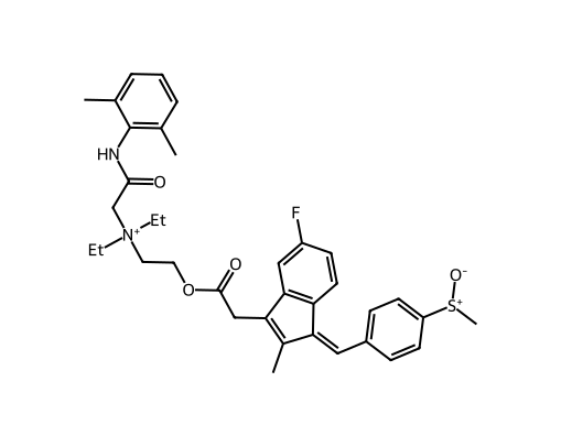 CC[N+](CC)(CCOC(=O)CC1=C(C)/C(=C/c2ccc([S+](C)[O-])cc2)c2ccc(F)cc21)CC(=O)Nc1c(C)cccc1C